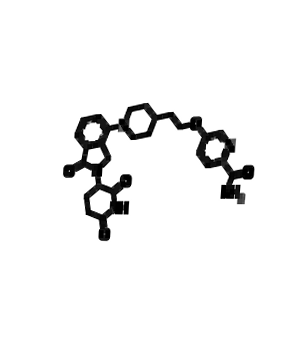 NC(=O)c1ccc(OCCC2CCN(c3cccc4c3CN(C3CCC(=O)NC3=O)C4=O)CC2)cn1